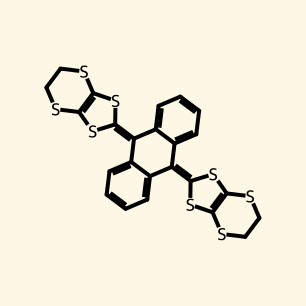 c1ccc2c(=C3SC4=C(SCCS4)S3)c3ccccc3c(=C3SC4=C(SCCS4)S3)c2c1